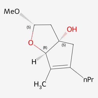 CCCC1=C(C)[C@H]2O[C@H](OC)C[C@@]2(O)C1